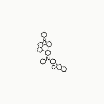 c1ccc(N(c2ccc3c(c2)-c2cccc4ccc5c(c24)c2c-3cccc2n5-c2ccccc2)c2ccc3c(c2)oc2cc4ccccc4cc23)cc1